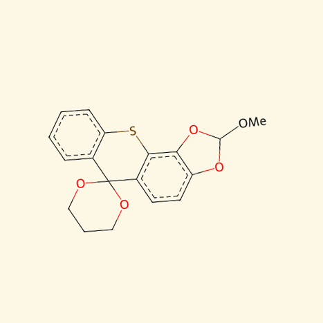 COC1Oc2ccc3c(c2O1)Sc1ccccc1C31OCCCO1